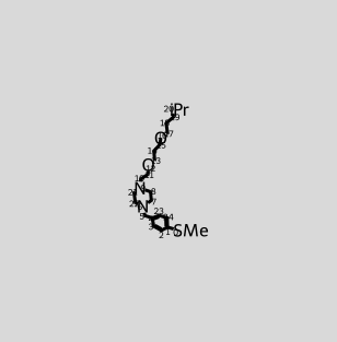 CSc1ccc(CN2CCN(CCOCCCOCCCC(C)C)CC2)cc1